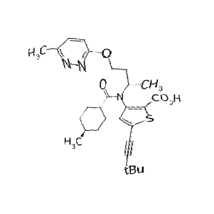 Cc1ccc(OCC[C@H](C)N(c2cc(C#CC(C)(C)C)sc2C(=O)O)C(=O)[C@H]2CC[C@H](C)CC2)nn1